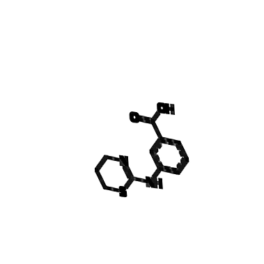 O=C(O)c1cccc(NC2=NCCCS2)c1